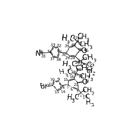 C=CC(C)(C)C1=CC(c2ccc(Br)cc2)C=C(C(C)(C)C)C1=O.C=CC(C)(C)C1=CC(c2ccc(C#N)cc2)C=C(C(C)(C)C)C1=O